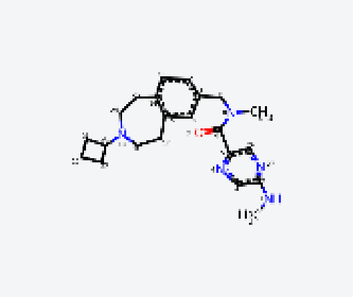 CNc1cnc(C(=O)N(C)Cc2ccc3c(c2)CCN(C2CCC2)CC3)cn1